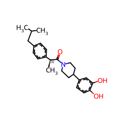 CC(C)Cc1ccc([C@H](C)C(=O)N2CCC(c3ccc(O)c(O)c3)CC2)cc1